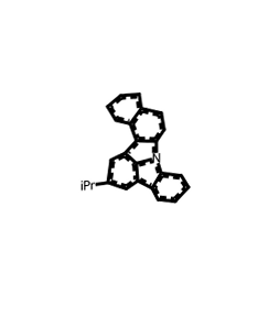 CC(C)c1cc2c3ccccc3n3c4ccc5ccccc5c4c(c1)c23